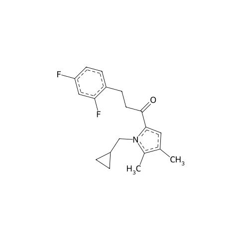 Cc1cc(C(=O)CCc2ccc(F)cc2F)n(CC2CC2)c1C